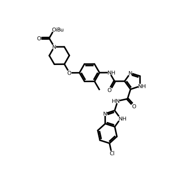 Cc1cc(OC2CCN(C(=O)OCC(C)C)CC2)ccc1NC(=O)c1nc[nH]c1C(=O)Nc1nc2ccc(Cl)cc2[nH]1